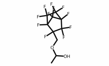 CC(O)OCC1(F)C(F)(F)C2(F)C(F)(F)C(F)(F)C1(F)C2(F)F